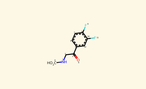 O=C(O)NCC(=O)c1ccc(F)c(F)c1